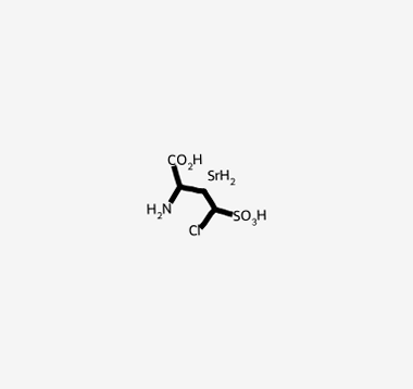 NC(CC(Cl)S(=O)(=O)O)C(=O)O.[SrH2]